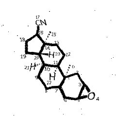 C[C@]12CC3OC3CC1CC[C@@H]1[C@H]2CC[C@]2(C)C(C#N)CC[C@@H]12